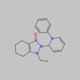 CCn1c2c(c(=O)n1C1C=CC=CN1c1ccccc1)CCCC2